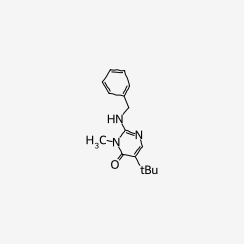 Cn1c(NCc2ccccc2)ncc(C(C)(C)C)c1=O